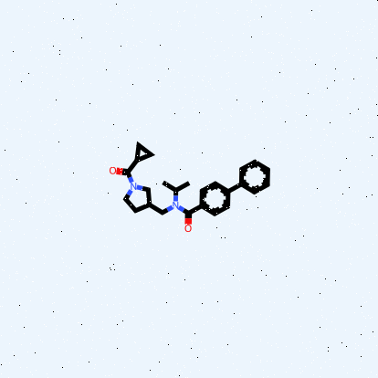 CC(C)N(CC1CCN(C(=O)C2CC2)C1)C(=O)c1ccc(-c2ccccc2)cc1